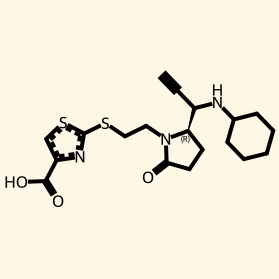 C#CC(NC1CCCCC1)[C@H]1CCC(=O)N1CCSc1nc(C(=O)O)cs1